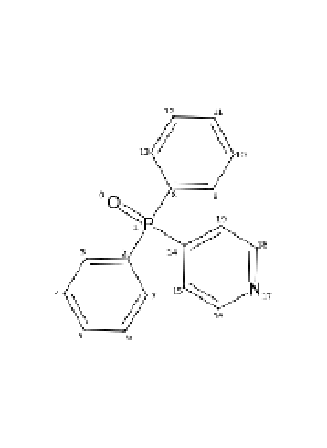 O=P(c1ccccc1)(c1ccccc1)c1ccncc1